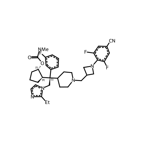 CCc1nccn1C[C@@](c1cccc(F)c1)(C1CCN(CC2CN(c3c(F)cc(C#N)cc3F)C2)CC1)[C@H]1CCC[C@@H]1OC(=O)NC